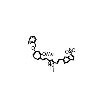 COC1=CC(OCc2ccccn2)=CCC=C1/C=C/c1cc(/C=C/c2ccc3ccn(S(C)(=O)=O)c3c2)[nH]n1